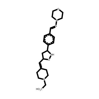 O=C(O)CN1CCC(=CC2CC(c3ccc(C=NN4CCOCC4)cc3)NO2)CC1